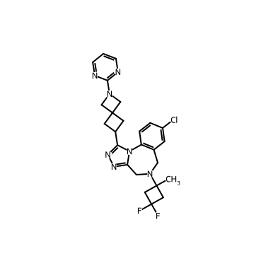 CC1(N2Cc3cc(Cl)ccc3-n3c(nnc3C3CC4(C3)CN(c3ncccn3)C4)C2)CC(F)(F)C1